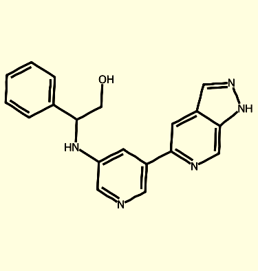 OCC(Nc1cncc(-c2cc3cn[nH]c3cn2)c1)c1ccccc1